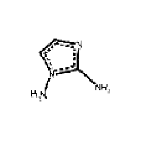 Nc1nccn1N